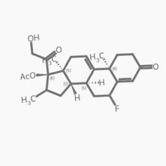 CC(=O)O[C@]1(C(=O)CO)C(C)C[C@H]2[C@@H]3CC(F)C4=CC(=O)CC[C@]4(C)C3=CC[C@@]21C